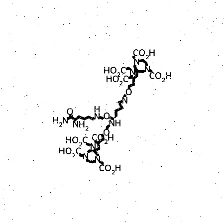 NC(=O)[C@@H](N)CCCCNCO[C@H](CCCCN=COCCCCC1(N(CC(=O)O)CC(=O)O)CN(CC(=O)O)CCN(CC(=O)O)C1)NCOCCCCC1(N(CC(=O)O)CC(=O)O)CN(CC(=O)O)CCN(CC(=O)O)C1